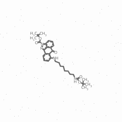 CC(C)(C)OC(=O)NCCCCCCCCNc1cccc2c1C(=O)c1cccc3c1c-2nn3C(=O)OC(C)(C)C